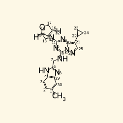 Cc1ccc2[nH]c(CNc3nc(N4C[C@H]5C[C@@H]4CO5)nc4c(C5CC5)cnn34)nc2c1